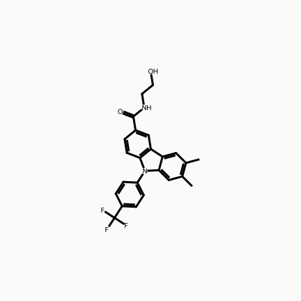 Cc1cc2c3cc(C(=O)NCCO)ccc3n(-c3ccc(C(F)(F)F)cc3)c2cc1C